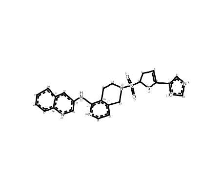 O=S(=O)(C1CC=C(c2cnco2)S1)N1CCc2c(ccnc2Nc2cnc3ccccc3c2)C1